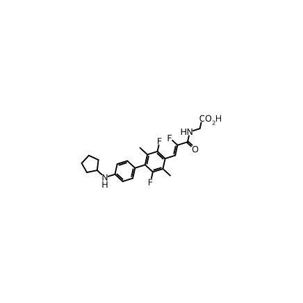 Cc1c(F)c(-c2ccc(NC3CCCC3)cc2)c(C)c(F)c1/C=C(\F)C(=O)NCC(=O)O